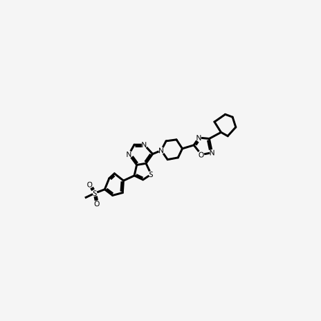 CS(=O)(=O)c1ccc(-c2csc3c(N4CCC(c5nc(C6CCCCC6)no5)CC4)ncnc23)cc1